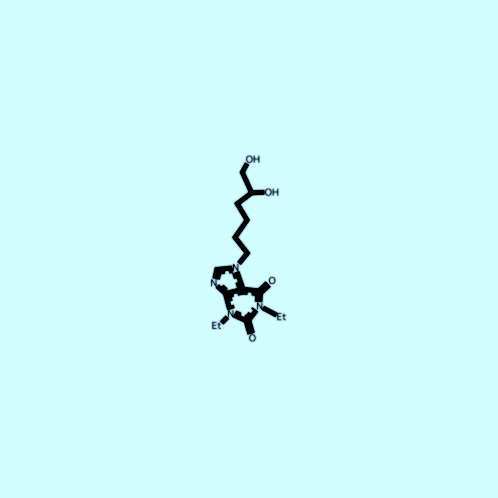 CCn1c(=O)c2c(ncn2CCCCC(O)CO)n(CC)c1=O